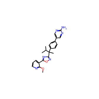 COc1ncccc1-c1nc(C(C)(c2ccc(-c3cnc(N)nc3)cc2)C(C)C)no1